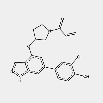 C=CC(=O)N1CCC(Oc2cc(-c3ccc(O)c(Cl)c3)cc3[nH]ncc23)C1